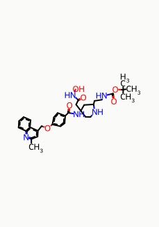 Cc1cc(COc2ccc(C(=O)NC3(CC(=O)NO)CCNC(CCNC(=O)OC(C)(C)C)C3)cc2)c2ccccc2n1